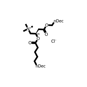 CCCCCCCCCCCCCCC(=O)O[C@H](CC(=O)OCCCCCCCCCCC)C[N+](C)(C)C.[Cl-]